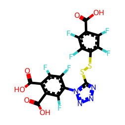 O=C(O)c1c(F)c(F)c(SSc2nnnn2-c2c(F)c(F)c(C(=O)O)c(C(=O)O)c2F)c(F)c1F